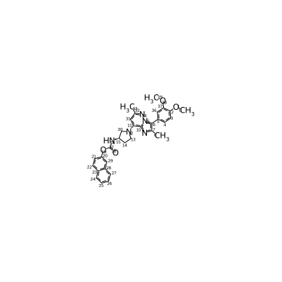 COc1ccc(-c2c(C)nc3c(N4CC[C@@H](NC(=O)Oc5ccc6ccccc6c5)C4)cc(C)nn23)cc1OC